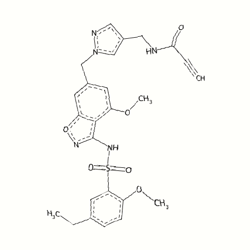 C#CC(=O)NCc1cnn(Cc2cc(OC)c3c(NS(=O)(=O)c4cc(CC)ccc4OC)noc3c2)c1